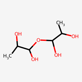 CC(O)C(O)OC(O)C(C)O